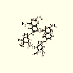 COc1cc(NCc2ccc3nc(N)nc(N)c3c2C)cc(OC)c1OC.COc1cc(NCc2ccc3nc(N)nc(N)c3c2C)cc(OC)c1OC